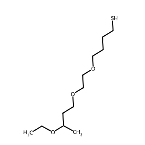 CCOC(C)CCOCCOCCCCS